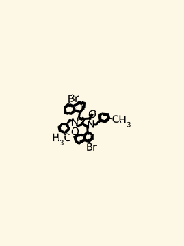 Cc1cccc(CN2C(=O)C3=C(c4ccc(Br)c5ccccc45)N(Cc4cccc(C)c4)C(=O)C3=C2c2ccc(Br)c3ccccc23)c1